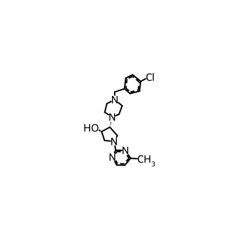 Cc1ccnc(N2C[C@@H](O)[C@H](N3CCN(Cc4ccc(Cl)cc4)CC3)C2)n1